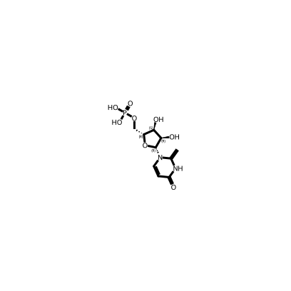 C=C1NC(=O)C=CN1[C@@H]1O[C@H](COP(=O)(O)O)[C@@H](O)[C@H]1O